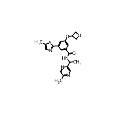 Cc1cnc(C(C)NC(=O)c2cc(OC3COC3)cc(-c3ncc(C)s3)c2)cn1